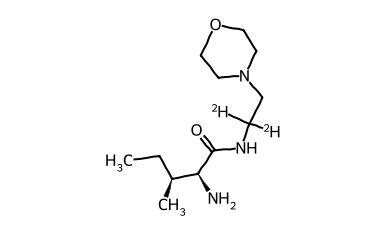 [2H]C([2H])(CN1CCOCC1)NC(=O)[C@@H](N)[C@@H](C)CC